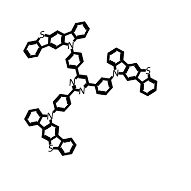 c1cc(-c2cc(-c3ccc(-n4c5ccccc5c5cc6sc7ccccc7c6cc54)cc3)nc(-c3ccc(-n4c5ccccc5c5cc6sc7ccccc7c6cc54)cc3)n2)cc(-n2c3ccccc3c3cc4sc5ccccc5c4cc32)c1